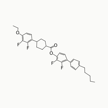 CCCCCc1ccc(-c2ccc(OC(=O)C3CCC(c4ccc(OCC)c(F)c4F)CC3)c(F)c2F)cc1